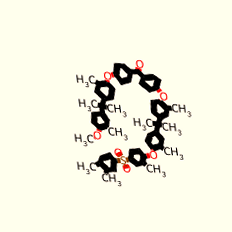 COc1ccc(C(C)(C)c2ccc(Oc3ccc(C(=O)c4ccc(Oc5ccc(C(C)(C)c6ccc(Oc7ccc(S(=O)(=O)c8ccc(C)c(C)c8)cc7C)c(C)c6)cc5C)cc4)cc3)c(C)c2)cc1C